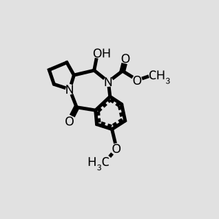 COC(=O)N1c2ccc(OC)cc2C(=O)N2CCCC2C1O